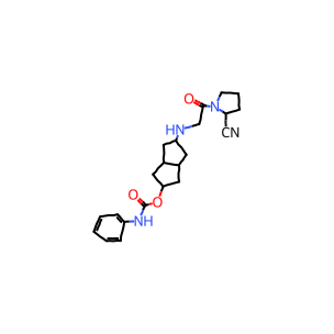 N#CC1CCCN1C(=O)CNC1CC2CC(OC(=O)Nc3ccccc3)CC2C1